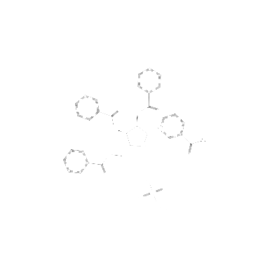 NC(=O)c1ccc[n+]([C@@H]2O[C@H](COC(=O)c3ccccc3)[C@@H](OC(=O)c3ccccc3)[C@H]2OC(=O)c2ccccc2)c1.O=S(=O)([O-])C(F)(F)F